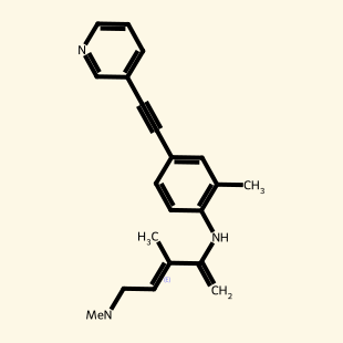 C=C(Nc1ccc(C#Cc2cccnc2)cc1C)/C(C)=C/CNC